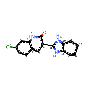 O=c1[nH]c2cc(Cl)ccc2cc1-c1nc2ccccc2[nH]1